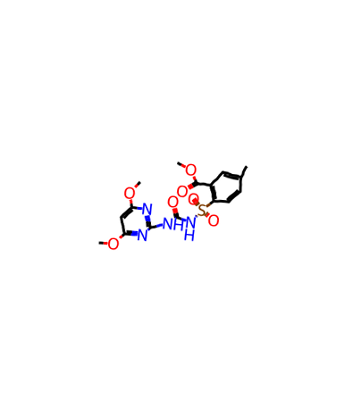 COC(=O)c1cc(C)ccc1S(=O)(=O)NC(=O)Nc1nc(OC)cc(OC)n1